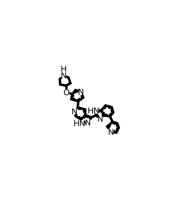 c1cncc(-c2cccc3[nH]c(-c4n[nH]c5cnc(-c6cncc(OC7CCNCC7)c6)cc45)nc23)c1